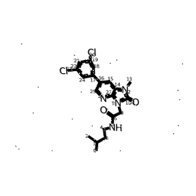 CC(C)CCNC(=O)Cn1c(=O)n(C)c2cc(-c3cc(Cl)cc(Cl)c3)cnc21